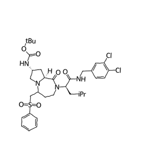 CC(C)C[C@H](C(=O)NCc1ccc(Cl)c(Cl)c1)N1CCC(CS(=O)(=O)c2ccccc2)N2C[C@H](NC(=O)OC(C)(C)C)C[C@H]2C1=O